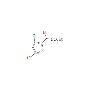 CCOC(=O)C(Br)c1ccc(Cl)cc1Cl